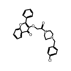 O=C(COc1c(-c2ccccc2)oc2ccccc2c1=O)N1CCN(Cc2ccc(Cl)cc2)CC1